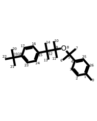 Cc1ccc(C(C)(C)OC(C)(C)C(C)(C)c2ccc(C(C)(C)C)cc2)cc1